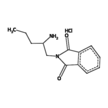 CCCC(N)CN1C(=O)c2ccccc2C1=O.Cl